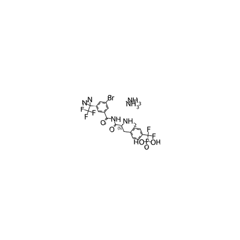 N.N.N[C@@H](Cc1ccc(C(F)(F)P(=O)(O)O)cc1)C(=O)NC(=O)c1cc(Br)cc(C2(C(F)(F)F)N=N2)c1